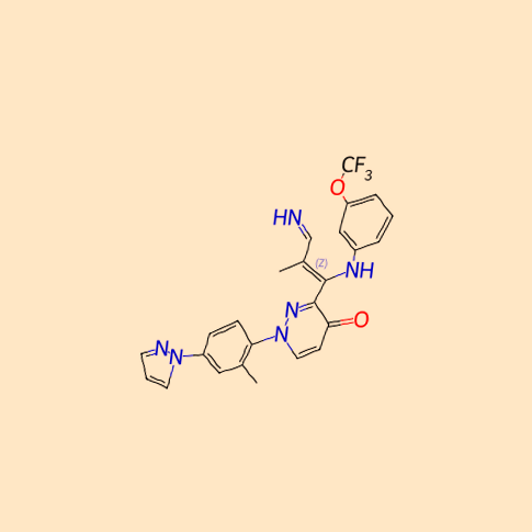 C/C(C=N)=C(/Nc1cccc(OC(F)(F)F)c1)c1nn(-c2ccc(-n3cccn3)cc2C)ccc1=O